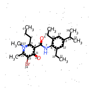 CCCc1c(C(=O)Nc2c(CC)cc(C(C)C)cc2CC)c(=O)c(Br)c(C)n1C